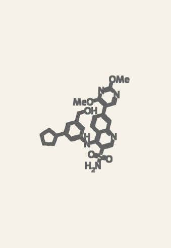 COc1ncc(-c2ccc3c(Nc4cc(CO)cc(C5CCCC5)c4)c(S(N)(=O)=O)cnc3c2)c(OC)n1